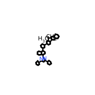 CC1(C)c2cc(-c3cccc(-c4ccc(-c5nc(-c6ccccc6)cc(-c6ccccc6)n5)c5ccccc45)c3)ccc2-c2cc3ccccc3cc21